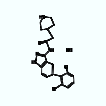 Cl.O=C(CC1CCNCC1)Nc1n[nH]c2ccc(-c3c(Cl)cccc3Cl)cc12